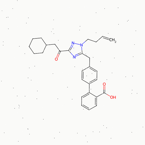 C=CCCn1nc(C(=O)CC2CCCCC2)nc1Cc1ccc(-c2ccccc2C(=O)O)cc1